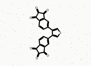 O=c1c(=O)c2ccc(-c3cscc3-c3ccc4c(=O)c(=O)c(=O)c4c3)cc2c1=O